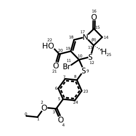 CCOC(=O)c1ccc(SC2(Br)S[C@@H]3CC(=O)N3C=C2C(=O)O)cc1